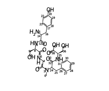 CN(C(=O)CNC(=O)[C@@H](CO)NC(=O)C(N)Cc1ccc(O)cc1)C(Cc1ccccc1)C(=O)N[C@H](CO)C(=O)O